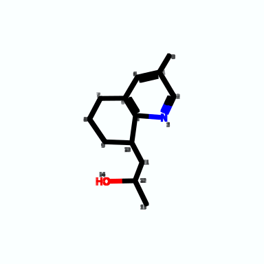 Cc1cnc2c(c1)CCCC2CC(C)O